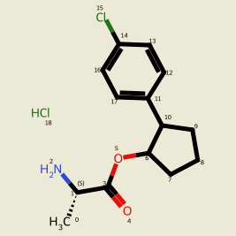 C[C@H](N)C(=O)OC1CCCC1c1ccc(Cl)cc1.Cl